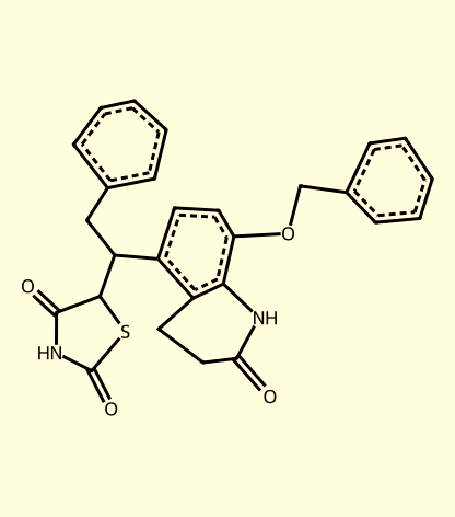 O=C1CCc2c(C(Cc3ccccc3)C3SC(=O)NC3=O)ccc(OCc3ccccc3)c2N1